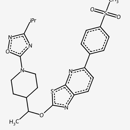 CC(C)c1noc(N2CCC(C(C)Oc3nc4ccc(-c5ccc(S(C)(=O)=O)cc5)nc4s3)CC2)n1